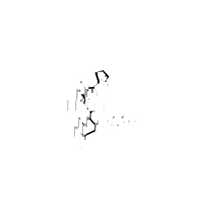 COc1cc(Cl)nnc1C(=O)Nc1nnc(-c2cccs2)o1